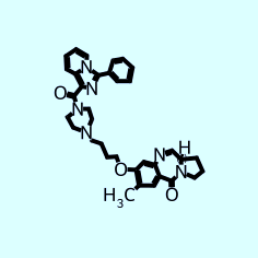 Cc1cc2c(cc1OCCCCN1CCN(C(=O)c3nc(-c4ccccc4)n4ccccc34)CC1)N=C[C@@H]1CCCN1C2=O